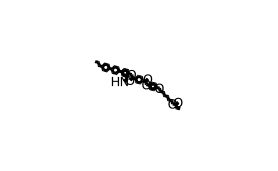 C=CC(=O)OCCCCCCOc1ccc(OC(=O)C2CCC(C(=O)Oc3ccc(C4CCC(C5CCC(CCC)CC5)CC4)cc3C=N)CC2)cc1